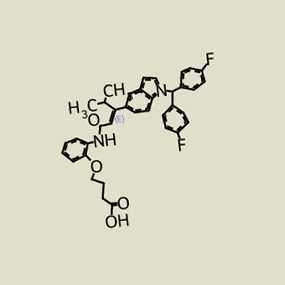 CC(C)/C(=C\C(=O)Nc1ccccc1OCCCC(=O)O)c1ccc2c(ccn2C(c2ccc(F)cc2)c2ccc(F)cc2)c1